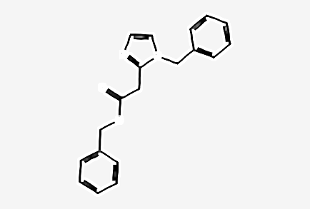 O=C(Cc1nccn1Cc1ccccc1)OCc1ccccc1